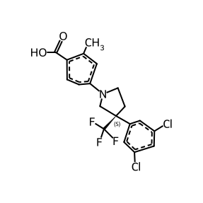 Cc1cc(N2CC[C@@](c3cc(Cl)cc(Cl)c3)(C(F)(F)F)C2)ccc1C(=O)O